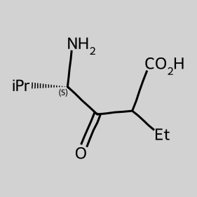 CCC(C(=O)O)C(=O)[C@@H](N)C(C)C